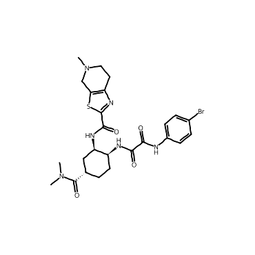 CN1CCc2nc(C(=O)N[C@@H]3C[C@@H](C(=O)N(C)C)CC[C@@H]3NC(=O)C(=O)Nc3ccc(Br)cc3)sc2C1